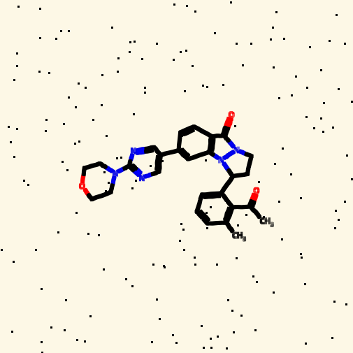 CC(=O)c1c(C)cccc1C1CCn2c(=O)c3ccc(-c4cnc(N5CCOCC5)nc4)cc3n21